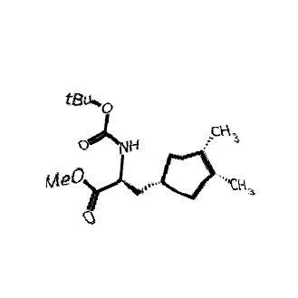 COC(=O)[C@H](C[C@H]1C[C@@H](C)[C@@H](C)C1)NC(=O)OC(C)(C)C